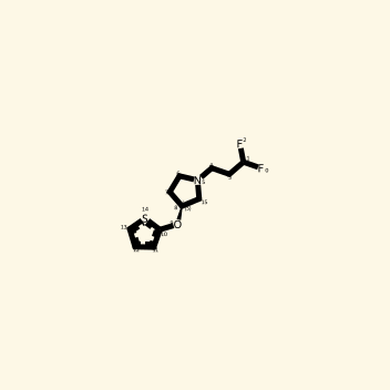 FC(F)CCN1CC[C@H](Oc2cccs2)C1